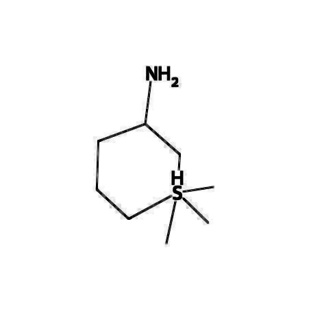 C[SH]1(C)(C)CCCC(N)C1